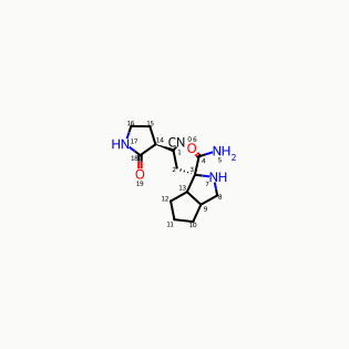 N#CC(C[C@]1(C(N)=O)NCC2CCCC21)[C@@H]1CCNC1=O